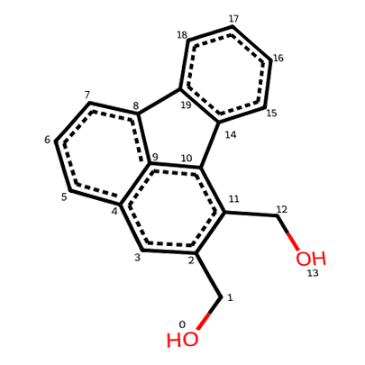 OCc1cc2cccc3c2c(c1CO)-c1ccccc1-3